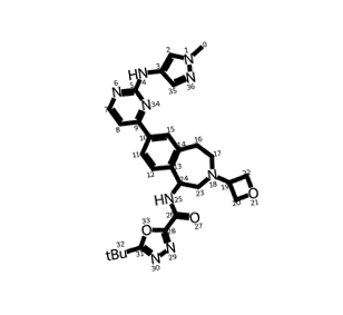 Cn1cc(Nc2nccc(-c3ccc4c(c3)CCN(C3COC3)CC4NC(=O)c3nnc(C(C)(C)C)o3)n2)cn1